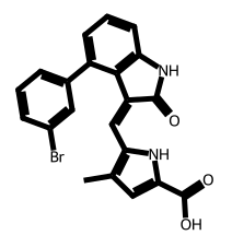 Cc1cc(C(=O)O)[nH]c1C=C1C(=O)Nc2cccc(-c3cccc(Br)c3)c21